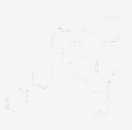 CC1(C)c2ccccc2-c2cc(N(c3ccc(-c4ccccc4)cc3)c3cccc4sc5c(ccc6cccnc65)c34)ccc21